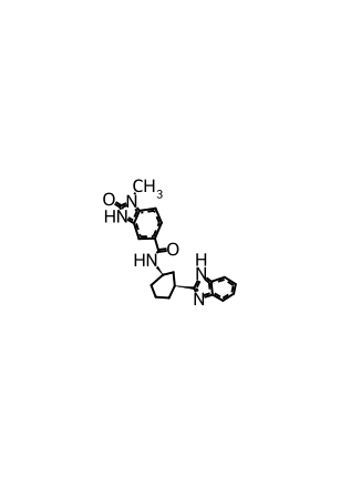 Cn1c(=O)[nH]c2cc(C(=O)N[C@@H]3CCC[C@H](c4nc5ccccc5[nH]4)C3)ccc21